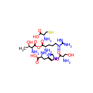 C[C@@H](O)[C@H](N)C(=O)OC(=O)[C@@H](N)CCCNC(=N)N.N[C@@H](CO)C(=O)O.N[C@@H](CS)C(=O)O.N[C@@H](Cc1c[nH]cn1)C(=O)O